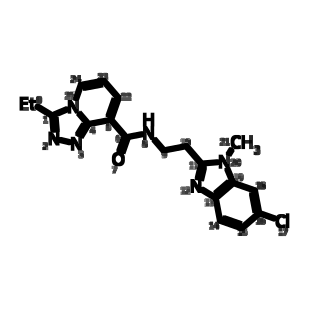 CCc1nnc2c(C(=O)NCCc3nc4ccc(Cl)cc4n3C)cccn12